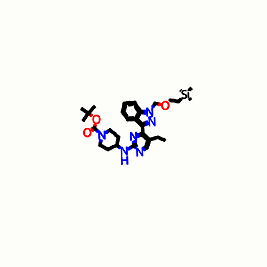 CCc1cnc(NC2CCN(C(=O)OC(C)(C)C)CC2)nc1-c1nn(COCC[Si](C)(C)C)c2ccccc12